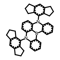 c1ccc2c(c1)B1c3ccccc3N(c3c4c(cc5c3CCC5)CCC4)c3cccc(c31)N2c1c2c(cc3c1CCC3)CCC2